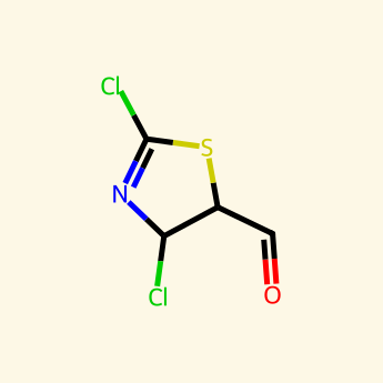 O=CC1SC(Cl)=NC1Cl